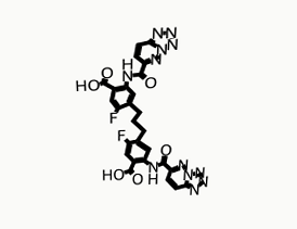 O=C(Nc1cc(CCCc2cc(NC(=O)c3ccc4nnnn4n3)c(C(=O)O)cc2F)c(F)cc1C(=O)O)c1ccc2nnnn2n1